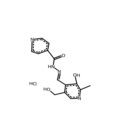 Cc1ncc(CO)c(C=NNC(=O)c2ccncc2)c1O.Cl